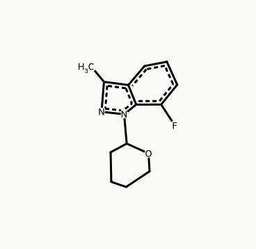 Cc1nn(C2CCCCO2)c2c(F)cccc12